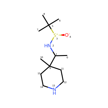 CC(N[S@+]([O-])C(C)(C)C)C1(C)CCNCC1